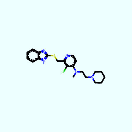 CN(CCN1CCCCC1)c1ccnc(CSc2nc3ccccc3[nH]2)c1Cl